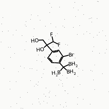 BC(B)(B)c1ccc(C(O)(CO)C(F)F)cc1Br